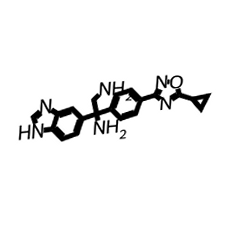 NCC(N)(c1ccc(-c2noc(C3CC3)n2)cc1)c1ccc2[nH]cnc2c1